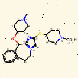 CN1CCC(OC2c3ccccc3CCn3cc(SC4CCN(C(=O)O)CC4)nc32)CC1